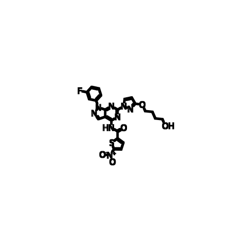 O=C(Nc1nc(-n2ccc(OCCCCO)n2)nc2c1cnn2-c1cccc(F)c1)c1ccc([N+](=O)[O-])s1